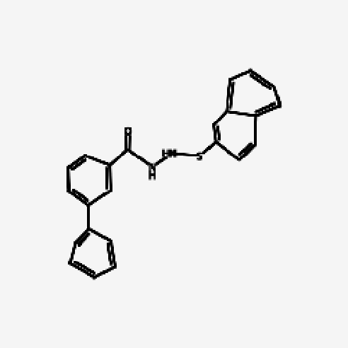 O=C(NNSc1ccc2ccccc2c1)c1cccc(-c2ccccc2)c1